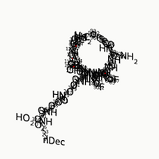 CCCCCCCCCCCCCCCC(=O)N[C@@H](CCC(=O)NCCOCCOCC(=O)NCCOCCOCC(=O)NCCCC[C@@H]1NC(=O)[C@H](Cc2c[nH]c3ccc(F)cc23)NC(=O)[C@H](Cc2c[nH]c3ccc(F)cc23)NC(=O)[C@@H](C)NC(=O)[C@H](CCCCN)NC(=O)CCSCc2cccc(c2)CSC[C@@H](C(N)=O)NC(=O)[C@]2(C)CCCN2C(=O)[C@H](Cc2ccc(O)cc2)NC(=O)[C@H]([C@@H](C)O)NC1=O)C(=O)O